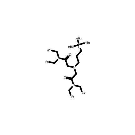 CCCC[PH](CCCC)(CCCC)CCCN(CC(=O)N(CC(C)C)CC(C)C)CC(=O)N(CC(C)C)CC(C)C